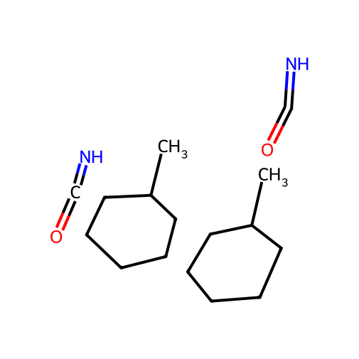 CC1CCCCC1.CC1CCCCC1.N=C=O.N=C=O